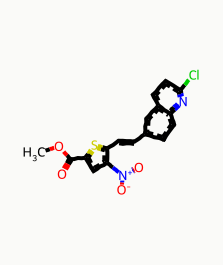 COC(=O)c1cc([N+](=O)[O-])c(C=Cc2ccc3nc(Cl)ccc3c2)s1